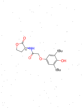 CC(C)(C)c1cc(OCC(=O)N[C@H]2CCOC2=O)cc(C(C)(C)C)c1O